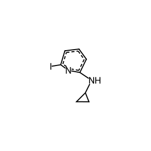 Ic1cccc(NC2CC2)n1